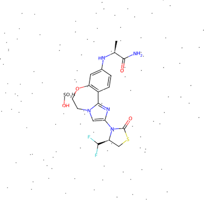 C[C@H](Nc1ccc2c(c1)OCCn1cc(N3C(=O)SC[C@H]3C(F)F)nc1-2)C(N)=O.O=S(=O)(O)O